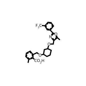 Cc1cccc(COC2CCCC(OCc3nc(-c4cccc(C(F)(F)F)c4)oc3C)C2)c1C(=O)O